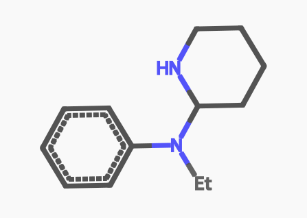 CCN(c1ccccc1)C1CCCCN1